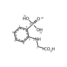 O=C(O)CNc1ccccc1P(=O)(O)O